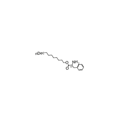 CCCCCCCCCCCCCCCCCCOC(=O)[C@@H](N)Cc1ccccc1